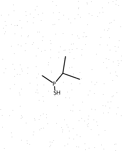 CC(C)P(C)S